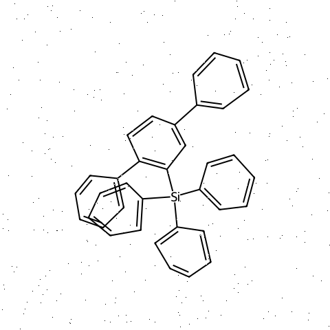 c1ccc(-c2ccc(-c3ccccc3)c([Si](c3ccccc3)(c3ccccc3)c3ccccc3)c2)cc1